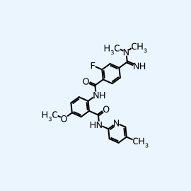 COc1ccc(NC(=O)c2ccc(C(=N)N(C)C)cc2F)c(C(=O)Nc2ccc(C)cn2)c1